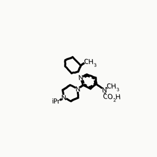 CC(C)N1CCN(c2cc(N(C)C(=O)O)ccn2)CC1.CC1CCCCC1